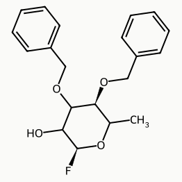 CC1O[C@@H](F)C(O)C(OCc2ccccc2)[C@H]1OCc1ccccc1